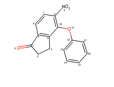 O=C1CCc2c1ccc([N+](=O)[O-])c2Oc1ccccc1